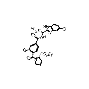 CCOC(=O)[C@@H]1CCCN1C(=O)c1ccc(C(=O)NC(C)c2nc3cc(Cl)ccc3[nH]2)cc1Cl